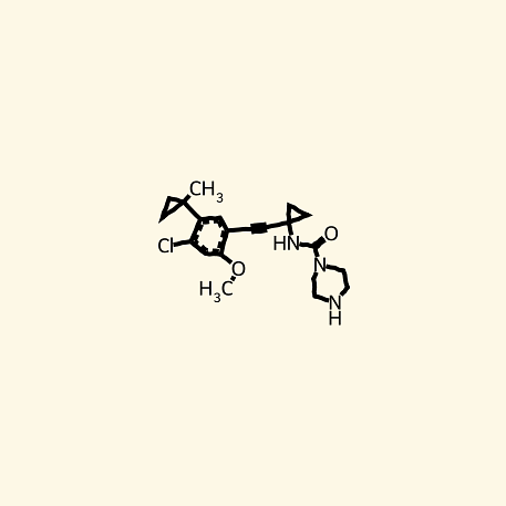 COc1cc(Cl)c(C2(C)CC2)cc1C#CC1(NC(=O)N2CCNCC2)CC1